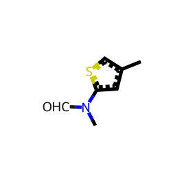 Cc1csc(N(C)C=O)c1